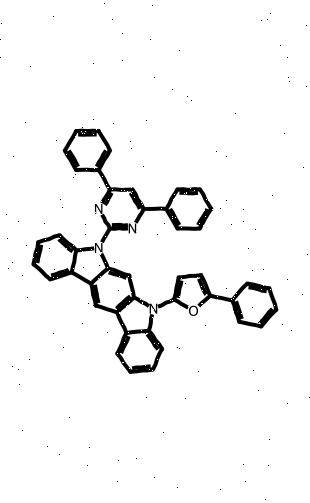 c1ccc(-c2cc(-c3ccccc3)nc(-n3c4ccccc4c4cc5c6ccccc6n(-c6ccc(-c7ccccc7)o6)c5cc43)n2)cc1